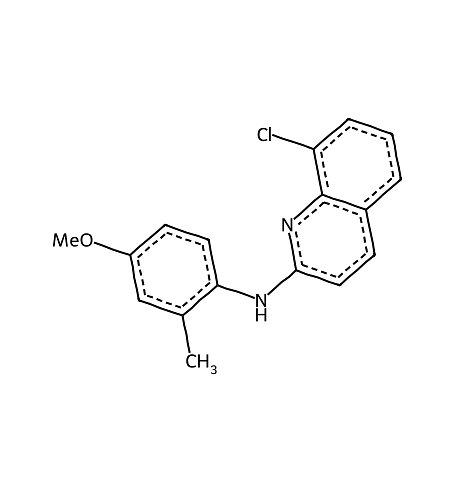 COc1ccc(Nc2ccc3cccc(Cl)c3n2)c(C)c1